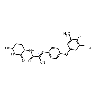 Cc1cc(Oc2ccc(/C=C(\C#N)C(=O)NC3CCC(=O)NC3=O)cc2)cc(C)c1Cl